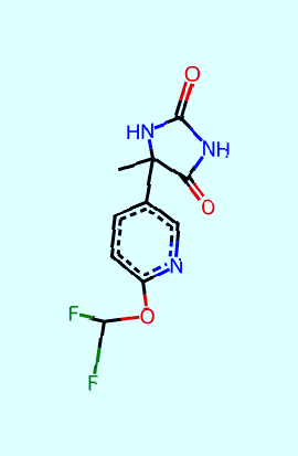 CC1(c2ccc(OC(F)F)nc2)NC(=O)NC1=O